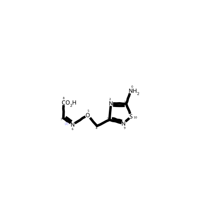 Nc1nc(CO/N=C\C(=O)O)ns1